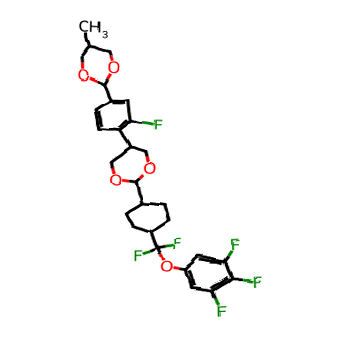 CC1COC(c2ccc(C3COC(C4CCC(C(F)(F)Oc5cc(F)c(F)c(F)c5)CC4)OC3)c(F)c2)OC1